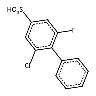 O=S(=O)(O)c1cc(F)c(-c2ccccc2)c(Cl)c1